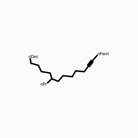 [CH2]CCCCC#CCCCCCC(CCC)CCCCCCCCCCCCC[CH2]